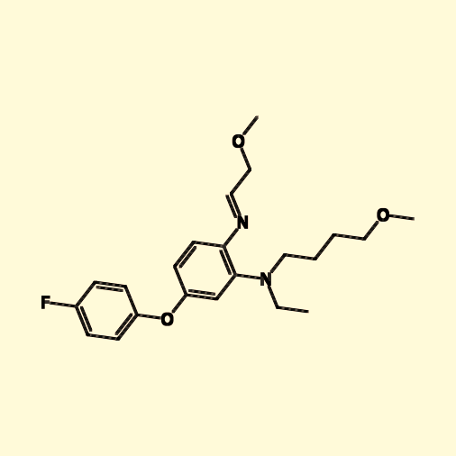 CCN(CCCCOC)c1cc(Oc2ccc(F)cc2)ccc1/N=C/COC